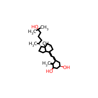 C=C1C(=CC=C2CCC[C@]3(C)C2CC[C@@H]3C(C)CCCC(C)(C)O)C[C@@H](O)CC1O